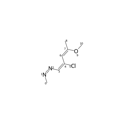 C\N=N/C=C(Cl)\C=C(\C)OC